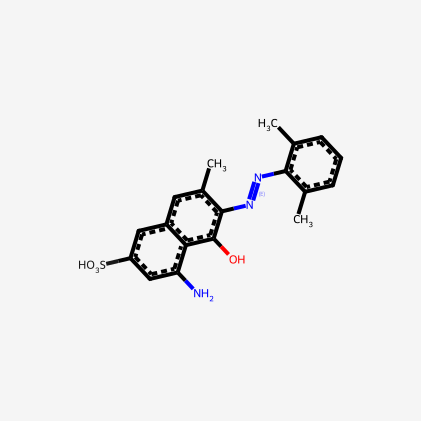 Cc1cccc(C)c1/N=N/c1c(C)cc2cc(S(=O)(=O)O)cc(N)c2c1O